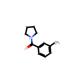 Cc1cc[c]c(C(=O)N2CCCC2)c1